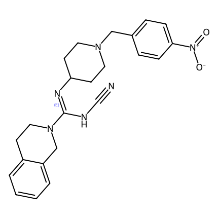 N#CN/C(=N\C1CCN(Cc2ccc([N+](=O)[O-])cc2)CC1)N1CCc2ccccc2C1